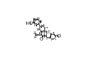 O=C(NCc1ccc(Cl)cc1F)N(C1CC1)[C@@H]1CCCN(c2ncnc(O)n2)C1